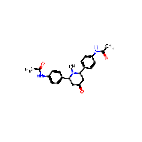 CC(=O)Nc1ccc(C2CC(=O)CC(c3ccc(NC(C)=O)cc3)N2C)cc1